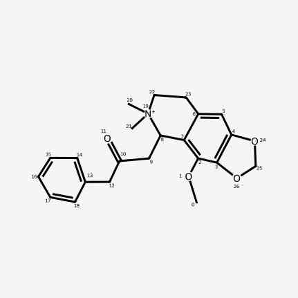 COc1c2c(cc3c1C(CC(=O)Cc1ccccc1)[N+](C)(C)CC3)OCO2